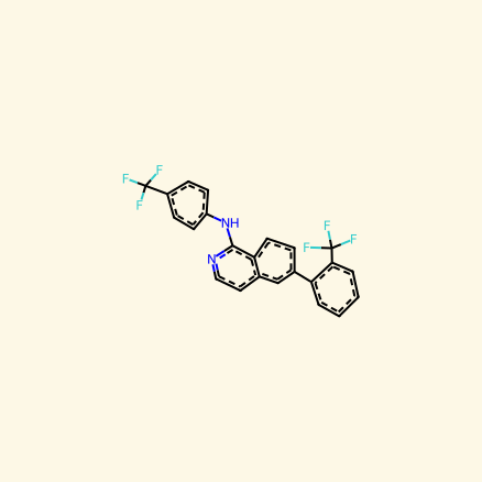 FC(F)(F)c1ccc(Nc2nccc3cc(-c4ccccc4C(F)(F)F)ccc23)cc1